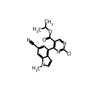 CC(C)OC(=O)c1cnc(Cl)nc1-c1cc(C#N)cc2c1ccn2C